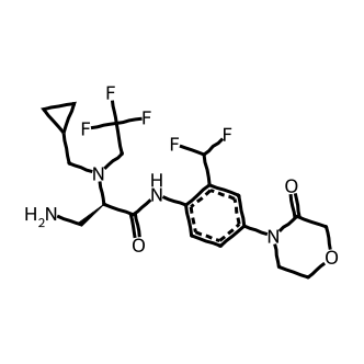 NC[C@H](C(=O)Nc1ccc(N2CCOCC2=O)cc1C(F)F)N(CC1CC1)CC(F)(F)F